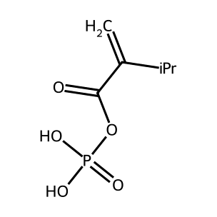 C=C(C(=O)OP(=O)(O)O)C(C)C